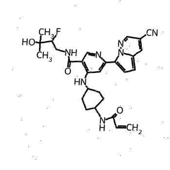 C=CC(=O)NC1CCC(Nc2cc(-c3ccc4cc(C#N)cnn34)ncc2C(=O)NCC(F)C(C)(C)O)CC1